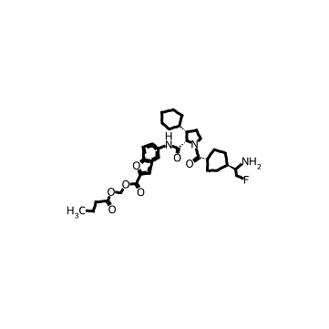 CCCC(=O)OCOC(=O)c1cc2cc(NC(=O)[C@@H]3[C@H](C4CCCCC4)CCN3C(=O)[C@H]3CC[C@H](C(N)CF)CC3)ccc2o1